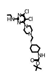 CCNc1nc(Cl)c(Cl)c(N2CCN(CC[C@H]3CC[C@H](NC(=O)OC(C)(C)C)CC3)CC2)n1